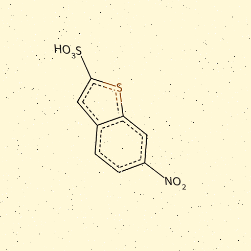 O=[N+]([O-])c1ccc2cc(S(=O)(=O)O)sc2c1